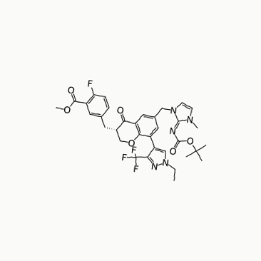 CCn1cc(-c2cc(Cn3ccn(C)/c3=N\C(=O)OC(C)(C)C)cc3c2OC[C@H](Cc2ccc(F)c(C(=O)OC)c2)C3=O)c(C(F)(F)F)n1